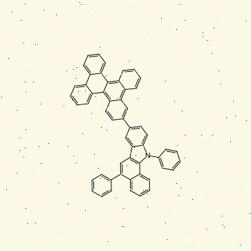 c1ccc(-c2cc3c4cc(-c5ccc6c(c5)c5ccccc5c5c7ccccc7c7ccccc7c65)ccc4n(-c4ccccc4)c3c3ccccc23)cc1